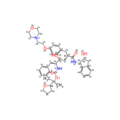 CC(C)(OC(=O)N[C@@H](Cc1ccccc1)[C@@H](O)C[C@@H](Cc1ccc(OCCN2CCOCC2)cc1)C(=O)N[C@H]1c2ccccc2C[C@H]1O)C1CCCO1